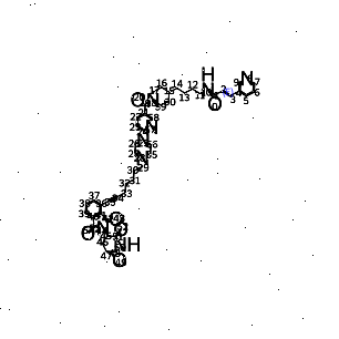 O=C(/C=C/c1cccnc1)NCCCCC1CCN(C(=O)c2ccc(N3CCN(CCCCCC#Cc4cccc5c4C(=O)N(C4CCC(=O)NC4=O)C5=O)CC3)nc2)CC1